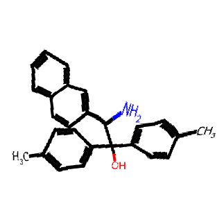 Cc1ccc(C(O)(c2ccc(C)cc2)C(N)c2ccc3ccccc3c2)cc1